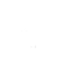 CCCCCCOC(=O)CC.Cl